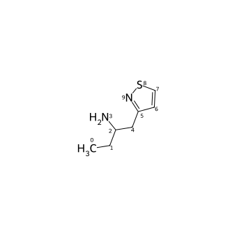 CCC(N)Cc1ccsn1